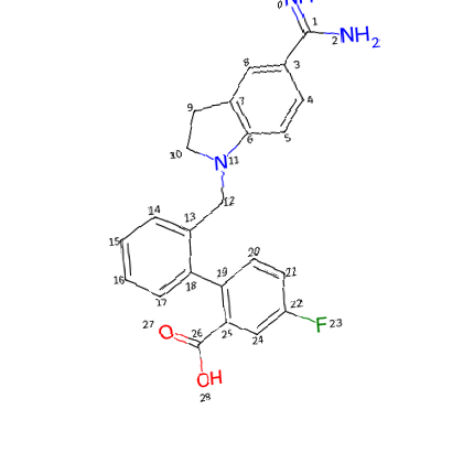 N=C(N)c1ccc2c(c1)CCN2Cc1ccccc1-c1ccc(F)cc1C(=O)O